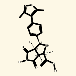 C=C(OCC)[C@]1(C)N[C@H](c2ccc(-c3c(C)noc3C)cc2)[C@@H]2C(=O)N(CC)C(=O)[C@@H]21